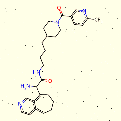 NC(C(=O)NCCCCC1CCN(C(=O)c2ccc(C(F)(F)F)nc2)CC1)C1=c2cnccc2=CCCC1